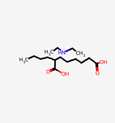 CCCCC(CCCCCC(=O)O)C(=O)O.CCNCC